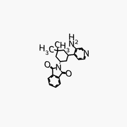 CC1(C)CC(c2ccncc2N)C[C@H](N2C(=O)c3ccccc3C2=O)C1